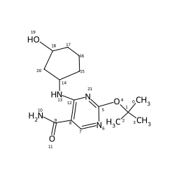 CC(C)(C)Oc1ncc(C(N)=O)c(NC2CCCC(O)C2)n1